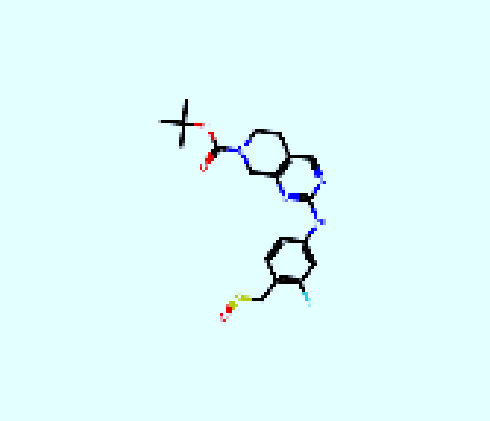 CC(C)(C)OC(=O)N1CCc2cnc(Nc3ccc(C[S+]=O)c(F)c3)nc2C1